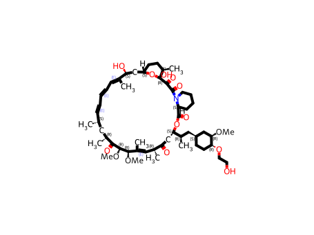 CO[C@@H]1/C(C)=C/[C@@H](C)C(=O)C[C@@H]([C@H](C)C[C@@H]2CC[C@@H](OCCO)[C@H](OC)C2)OC(=O)[C@@H]2CCCCN2C(=O)C(=O)[C@]2(O)O[C@@H](CC[C@H]2C)C[C@H](O)/C(C)=C/C=C/C=C/[C@@H](C)C[C@@H](C)C(=O)[C@@H]1OC